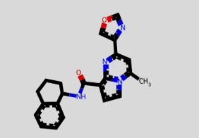 Cc1cc(-c2cocn2)nc2c(C(=O)NC3CCCc4ccccc43)ccn12